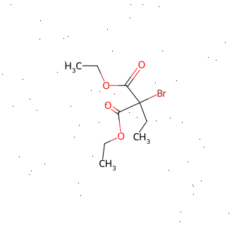 CCOC(=O)C(Br)(CC)C(=O)OCC